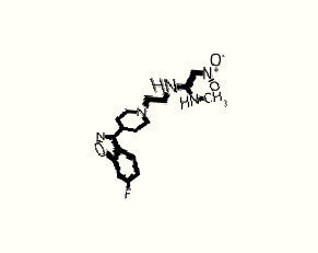 CNC(=C[N+](=O)[O-])NCCN1CCC(c2noc3cc(F)ccc23)CC1